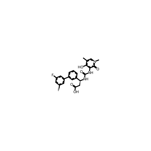 Cc1cn(C)c(=O)c(NC(=O)N[C@@H](CC(=O)O)c2cccc(-c3cc(F)cc(F)c3)c2)c1O